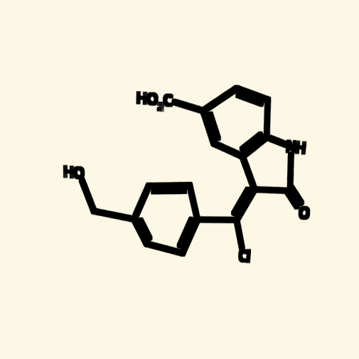 O=C1Nc2ccc(C(=O)O)cc2C1=C(Cl)c1ccc(CO)cc1